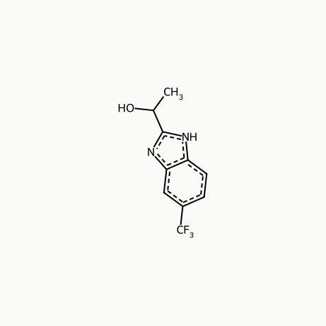 CC(O)c1nc2cc(C(F)(F)F)ccc2[nH]1